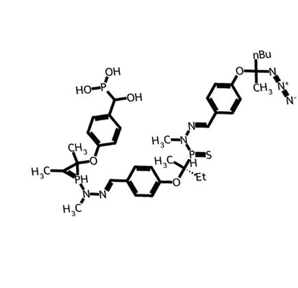 CCCCC(C)(N=[N+]=[N-])Oc1ccc(/C=N/N(C)[PH](=S)[C@@](C)(CC)Oc2ccc(/C=N/N(C)[PH]3=C(C)C3(C)Oc3ccc(C(O)P(O)O)cc3)cc2)cc1